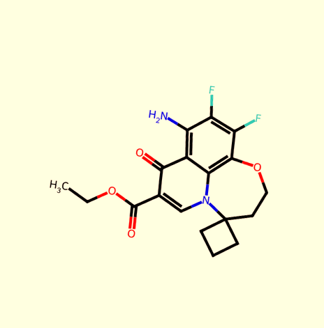 CCOC(=O)c1cn2c3c(c(F)c(F)c(N)c3c1=O)OCCC21CCC1